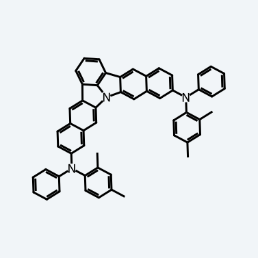 Cc1ccc(N(c2ccccc2)c2ccc3cc4c5cccc6c7cc8ccc(N(c9ccccc9)c9ccc(C)cc9C)cc8cc7n(c4cc3c2)c56)c(C)c1